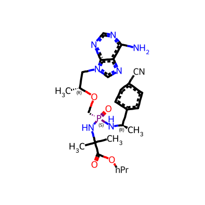 CCCOC(=O)C(C)(C)N[P@](=O)(CO[C@H](C)Cn1cnc2c(N)ncnc21)N[C@H](C)c1ccc(C#N)cc1